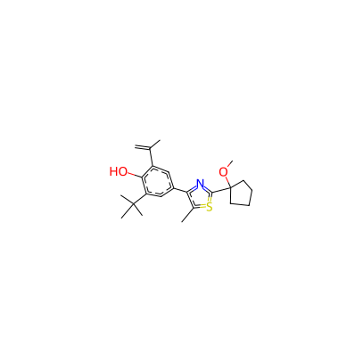 C=C(C)c1cc(-c2nc(C3(OC)CCCC3)sc2C)cc(C(C)(C)C)c1O